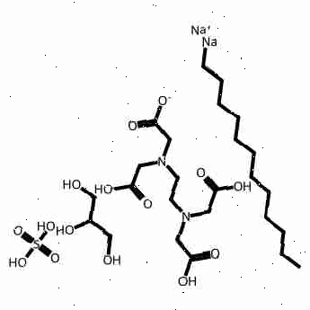 CCCCCCCCCCC[CH2][Na].O=C([O-])CN(CCN(CC(=O)O)CC(=O)O)CC(=O)O.O=S(=O)(O)O.OCC(O)CO.[Na+]